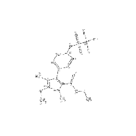 CCOC(=O)c1c(-c2ccc(OS(=O)(=O)C(F)(F)F)cc2)c(C)c(CC)n1C